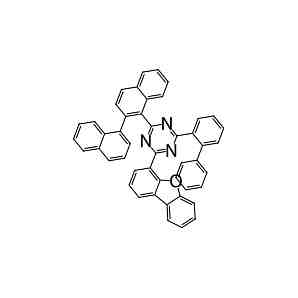 c1ccc(-c2ccccc2-c2nc(-c3c(-c4cccc5ccccc45)ccc4ccccc34)nc(-c3cccc4c3oc3ccccc34)n2)cc1